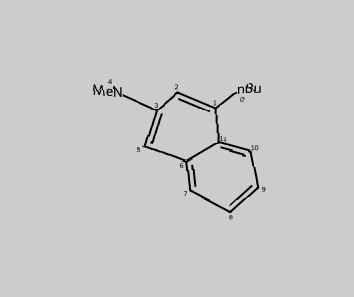 CCCCc1cc(NC)cc2ccccc12